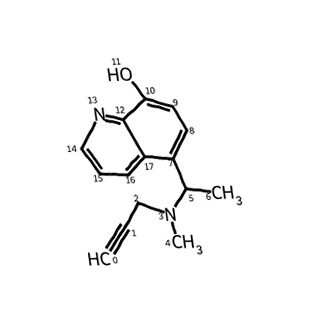 C#CCN(C)C(C)c1ccc(O)c2ncccc12